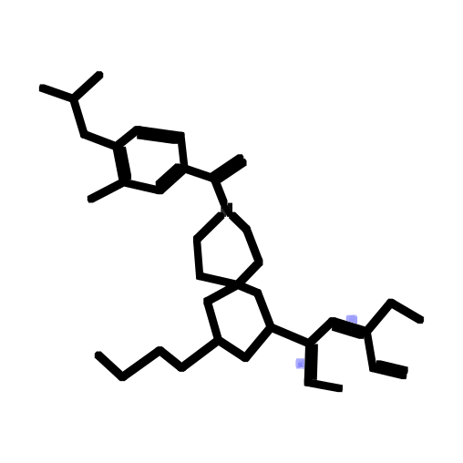 C=C/C(=C\C(=C/C)C1CC(CCCC)CC2(CCN(C(=C)c3ccc(CC(C)C)c(C)c3)CC2)C1)CC